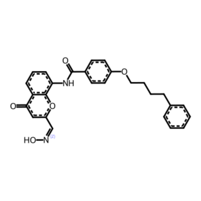 O=C(Nc1cccc2c(=O)cc(/C=N\O)oc12)c1ccc(OCCCCc2ccccc2)cc1